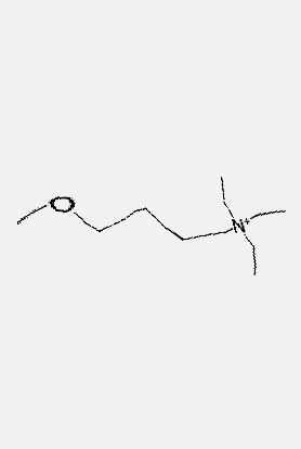 COCCC[N+](C)(C)C